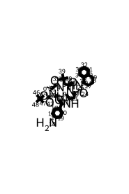 C[C@@H](C(=O)NC(C(=O)N1C[C@@H](NC(=O)c2ccc(N)cc2)C[C@H]1C(=O)N[C@@H]1CCCc2ccccc21)C(C)(C)C)N(C)C(=O)OC(C)(C)C